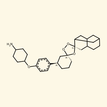 NC1CCC(Oc2ccc([C@@H]3CCC[C@]4(C3)OO[C@]3(CC5CCC6CC5CC3C6)O4)cc2)CC1